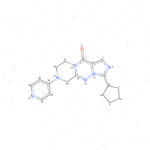 O=c1c2cnc(C3CCCC3)n2nc2n1CCN(c1ccncc1)C2